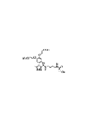 COCCOc1cc2nc(NCCCCNC(=O)OC(C)(C)C)c3nnc(C)n3c2cc1OCCOC